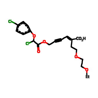 CCOCCOCCC(=CC#CCOC(=O)C(Cl)Oc1ccc(Cl)cc1)C(=O)O